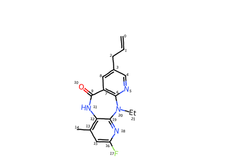 C=CCc1cnc2c(c1)C(=O)Nc1c(C)cc(F)nc1N2CC